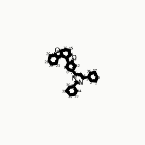 c1ccc(-c2cc(-c3ccc4c(c3)oc3ccc5oc6ccccc6c5c34)nc(-c3ccccc3)n2)cc1